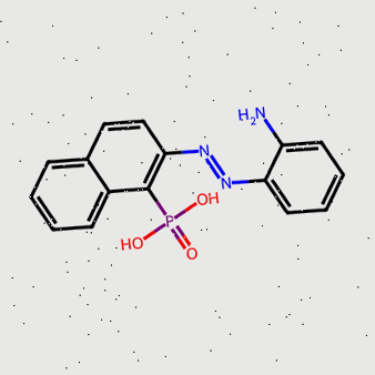 Nc1ccccc1N=Nc1ccc2ccccc2c1P(=O)(O)O